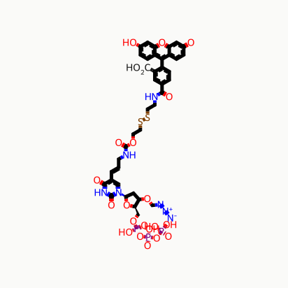 [N-]=[N+]=NCOC1C[C@H](n2cc(/C=C/CNC(=O)OCCSSCCNC(=O)c3ccc(-c4c5ccc(=O)cc-5oc5cc(O)ccc45)c(C(=O)O)c3)c(=O)[nH]c2=O)O[C@@H]1COP(=O)(O)OP(=O)(O)OP(=O)(O)O